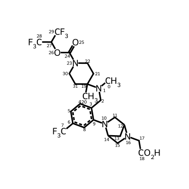 CN(Cc1ccc(C(F)(F)F)cc1N1CC2CC1CN2CC(=O)O)C1(C)CCN(C(=O)OC(C(F)(F)F)C(F)(F)F)CC1